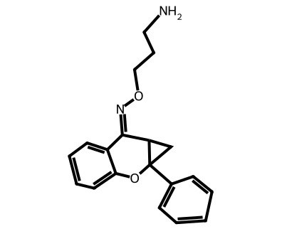 NCCCON=C1c2ccccc2OC2(c3ccccc3)CC12